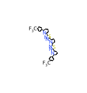 FC(F)(F)c1ccc(-c2cccc(-c3nnc(-c4cccc(-c5nnc(-c6cccc(-c7ccc(C(F)(F)F)cc7)n6)s5)n4)s3)n2)cc1